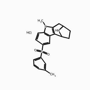 Cc1cccc(S(=O)(=O)c2ccc3c(c2)c2c(n3C)CC3CCC2N3)c1.Cl